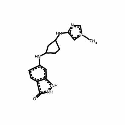 Cn1cnc(NC2CCC(Nc3ccc4c(=O)[nH][nH]c4c3)C2)c1